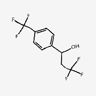 OC(CC(F)(F)F)c1ccc(C(F)(F)F)cc1